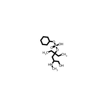 CCC(CC)(CC(CO)NC)OP(=O)(O)OC1CCCCC1